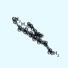 C=CC(=O)OCCCCCCOC(=O)C1CCC(C(=O)OC2CCC(C(=O)Oc3ccc(OC(=O)C4CCC(OC(=O)C5CCC(C(=O)OCCCCCCOC(=O)C=C)CC5)CC4)c(/C=N/N(CCOCCOCCOC(=O)C=C)c4nc5ccccc5s4)c3)CC2)CC1